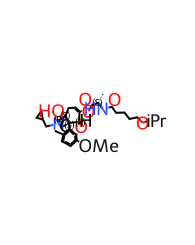 COc1ccc(C)c2c1O[C@H]1C(OC(=O)[C@H](C)NC(=O)CCCCOC(C)C)=CC[C@@]3(O)[C@@H](C)N(CC4CC4)CC[C@]213